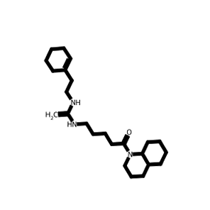 C=C(NCCCCC(=O)N1CCCC2CCCCC21)NCCC1=CCCCC1